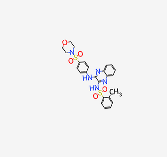 Cc1ccccc1S(=O)(=O)Nc1nc2ccccc2nc1Nc1ccc(S(=O)(=O)N2CCOCC2)cc1